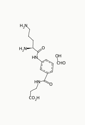 NCCC[C@H](N)C(=O)Nc1cccc(C(=O)NCCC(=O)O)c1.O=CO